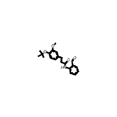 COc1cc(/C=C/C(=O)Nc2ccccc2C=O)ccc1OC(C)(C)C